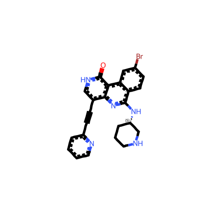 O=c1[nH]cc(C#Cc2ccccn2)c2nc(N[C@H]3CCCNC3)c3ccc(Br)cc3c12